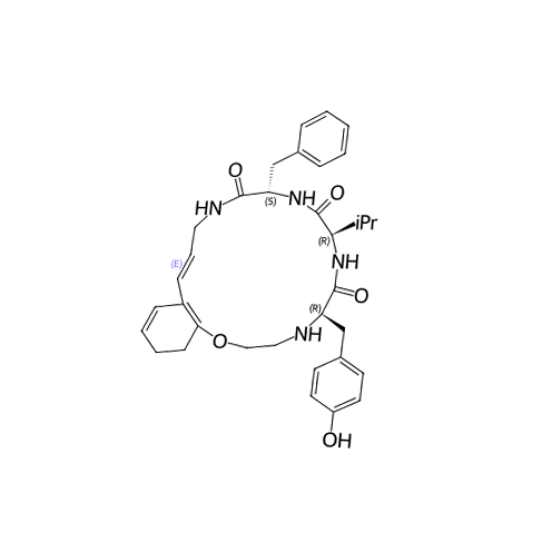 CC(C)[C@H]1NC(=O)[C@@H](Cc2ccc(O)cc2)NCCOC2=C(C=CCC2)/C=C/CNC(=O)[C@H](Cc2ccccc2)NC1=O